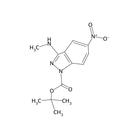 CNc1nn(C(=O)OC(C)(C)C)c2ccc([N+](=O)[O-])cc12